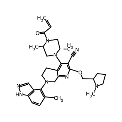 C=CC(=O)N1C[C@H](C)N(c2c(C#N)c(OCC3CCCN3C)nc3c2CCN(c2c(C)ccc4[nH]ncc24)C3)C[C@H]1C